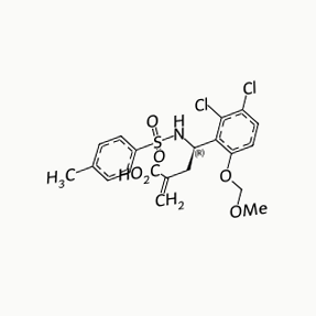 C=C(C[C@@H](NS(=O)(=O)c1ccc(C)cc1)c1c(OCOC)ccc(Cl)c1Cl)C(=O)O